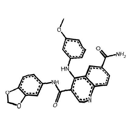 COc1cccc(Nc2c(C(=O)Nc3ccc4c(c3)OCO4)cnc3ccc(C(N)=O)cc23)c1